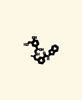 C[C@H](Cc1cccc(C(=O)NC2Cc3ccccc3C2)c1)NC[C@H](O)c1ccc(O)c(CO)c1